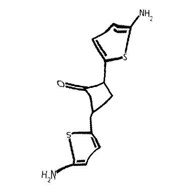 Nc1ccc(C2CC(c3ccc(N)s3)C2=O)s1